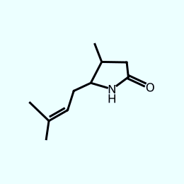 CC(C)=CCC1NC(=O)CC1C